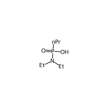 CCCP(=O)(O)N(CC)CC